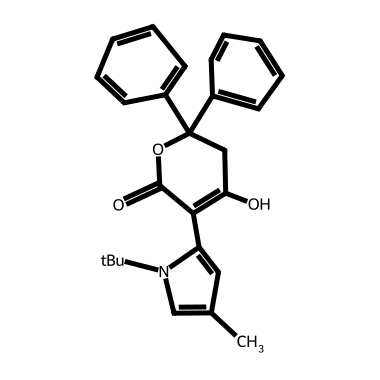 Cc1cc(C2=C(O)CC(c3ccccc3)(c3ccccc3)OC2=O)n(C(C)(C)C)c1